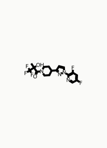 CC(O)(C(=O)N1CCC(c2ccn(-c3ncc(F)cc3F)n2)CC1)C(F)(F)F